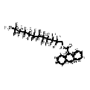 O=C(OCC(F)(F)C(F)(F)C(F)(F)C(F)(F)C(F)(F)C(F)(F)C(F)(F)C(F)(F)C(F)(F)C(F)(F)C(F)(F)F)c1c2ccccc2cc2ccccc12